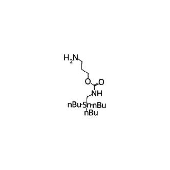 CCC[CH2][Sn]([CH2]CCC)([CH2]CCC)[CH2]NC(=O)OCCCN